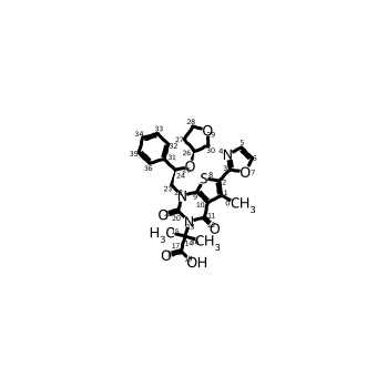 Cc1c(-c2ncco2)sc2c1c(=O)n(C(C)(C)C(=O)O)c(=O)n2C[C@H](O[C@H]1CCOC1)c1ccccc1